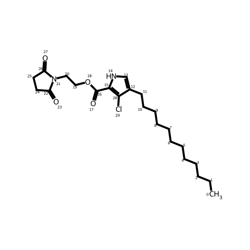 CCCCCCCCCCCCc1c[nH]c(C(=O)OCCN2C(=O)CCC2=O)c1Cl